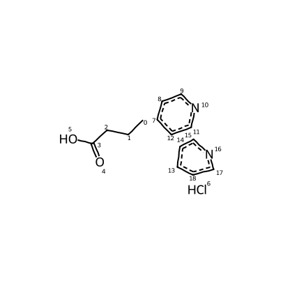 CCCC(=O)O.Cl.c1ccncc1.c1ccncc1